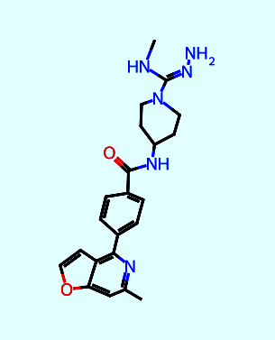 CN/C(=N\N)N1CCC(NC(=O)c2ccc(-c3nc(C)cc4occc34)cc2)CC1